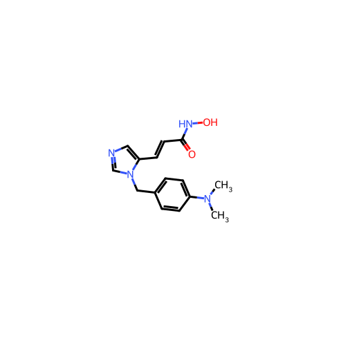 CN(C)c1ccc(Cn2cncc2/C=C/C(=O)NO)cc1